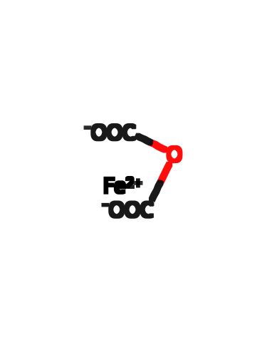 O=C([O-])OC(=O)[O-].[Fe+2]